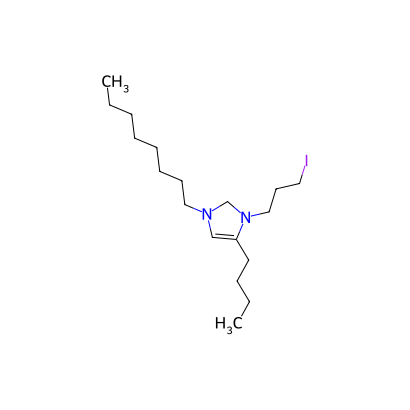 CCCCCCCCN1C=C(CCCC)N(CCCI)C1